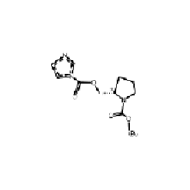 CC(C)(C)OC(=O)N1CCC[C@H]1COC(=O)n1ccnc1